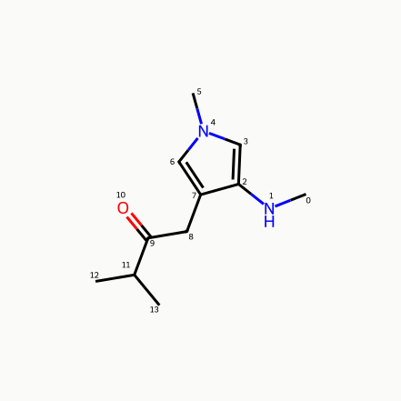 CNc1cn(C)cc1CC(=O)C(C)C